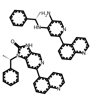 C[C@@H](c1ccccc1)n1c(=O)[nH]c2cnc(-c3cccc4ncccc34)cc21.C[C@H](Nc1cc(-c2cccc3ncccc23)ncc1N)c1ccccc1